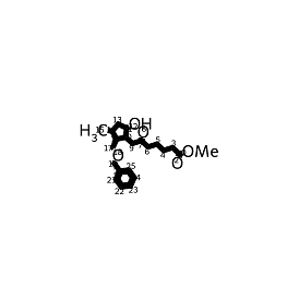 COC(=O)CCCCC(=O)CC1C(O)CC(C)C1COCc1ccccc1